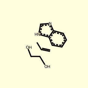 C=CC.OCCO.c1ccc2[nH]cnc2c1